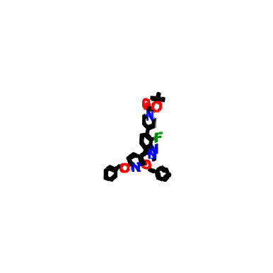 Cn1nc2c(F)c(C3=CCN(C(=O)OC(C)(C)C)CC3)ccc2c1-c1ccc(OCc2ccccc2)nc1OCc1ccccc1